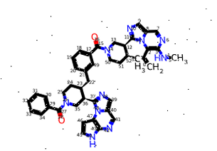 C=Cc1c(NC)ncc2cnc([C@@H]3CN(C(=O)c4cccc(C[C@@H]5CCN(C(=O)c6ccccc6)C[C@@H]5c5ncc6cnc7[nH]ccc7n56)c4)CC[C@@H]3C)n12